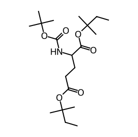 CCC(C)(C)OC(=O)CCC(NC(=O)OC(C)(C)C)C(=O)OC(C)(C)CC